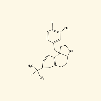 Cc1cc(CC23CCNC2CCc2cc(C(C)(F)C(F)(F)F)ccc23)ccc1F